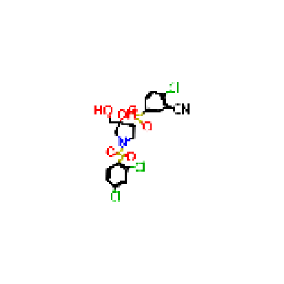 N#Cc1cc(S(=O)(=O)[C@H]2CN(S(=O)(=O)c3ccc(Cl)cc3Cl)C[C@@]2(O)CO)ccc1Cl